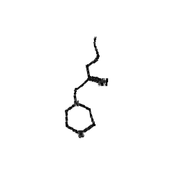 CCCC(=N)CN1CCSCC1